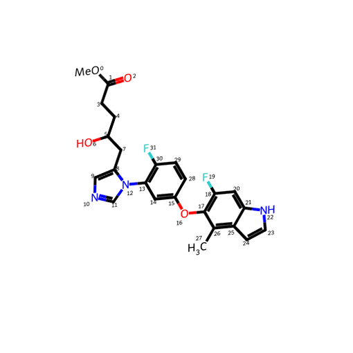 COC(=O)CCC(O)Cc1cncn1-c1cc(Oc2c(F)cc3[nH]ccc3c2C)ccc1F